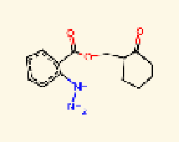 NNc1ccccc1C(=O)OCC1CCCCC1=O